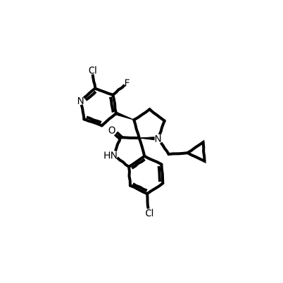 O=C1Nc2cc(Cl)ccc2[C@@]12[C@@H](c1ccnc(Cl)c1F)CCN2CC1CC1